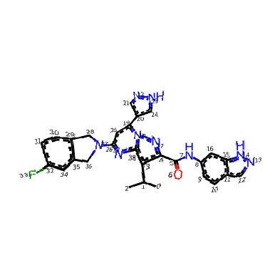 CC(C)c1c(C(=O)Nc2ccc3cn[nH]c3c2)nn2c(-c3cn[nH]c3)cc(N3Cc4ccc(F)cc4C3)nc12